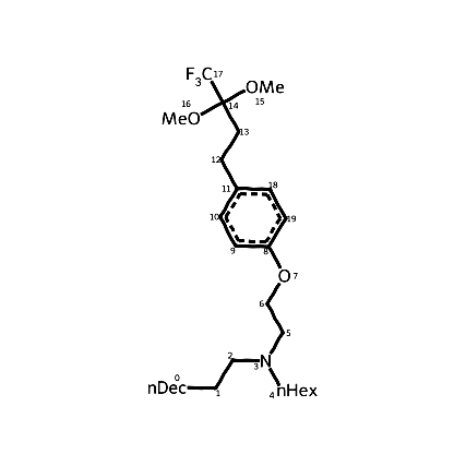 CCCCCCCCCCCCN(CCCCCC)CCOc1ccc(CCC(OC)(OC)C(F)(F)F)cc1